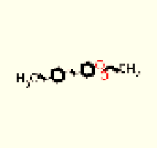 C=CCC(=O)O[C@H]1CC[C@H](CC[C@H]2CC[C@H](CCC)CC2)CC1